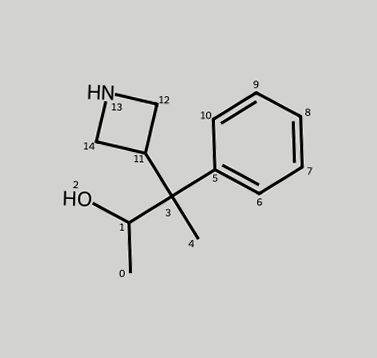 CC(O)C(C)(c1ccccc1)C1CNC1